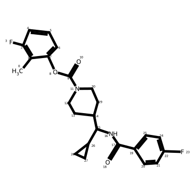 Cc1c(F)cccc1OC(=O)N1CCC(C(NC(=O)c2ccc(F)cc2)C2CC2)CC1